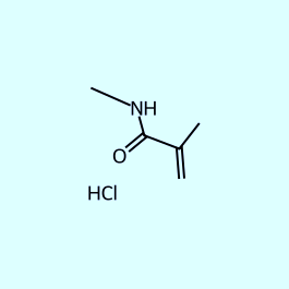 C=C(C)C(=O)NC.Cl